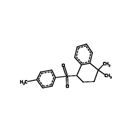 Cc1ccc(S(=O)(=O)C2CCC(C)(C)c3ccccc32)cc1